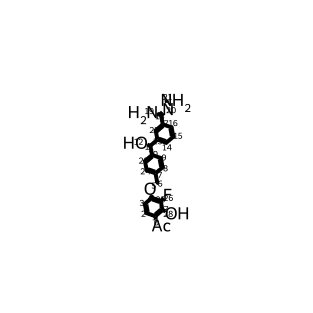 CC(=O)c1ccc(OCc2ccc(C(O)c3cccc(/C(N)=N/N)c3)cc2)c(F)c1O